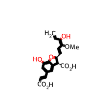 C=C/C(O)=C(\C=C\[C@@H]1Oc2c(O)cc(/C=C/C(=O)O)cc2[C@H]1C(=O)O)OC